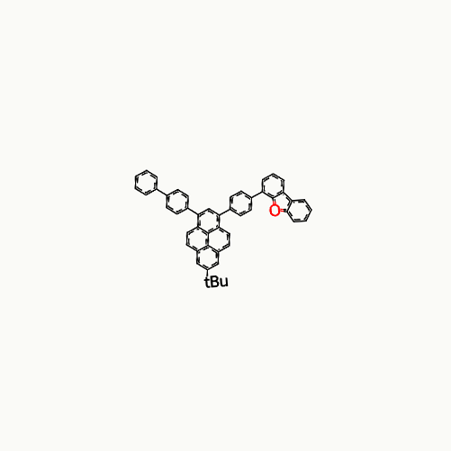 CC(C)(C)c1cc2ccc3c(-c4ccc(-c5ccccc5)cc4)cc(-c4ccc(-c5cccc6c5oc5ccccc56)cc4)c4ccc(c1)c2c34